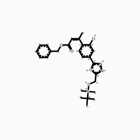 CC(=CC(=O)OCc1ccccc1)c1ccc(-c2nnc(CO[Si](C)(C)C(C)(C)C)o2)cc1Cl